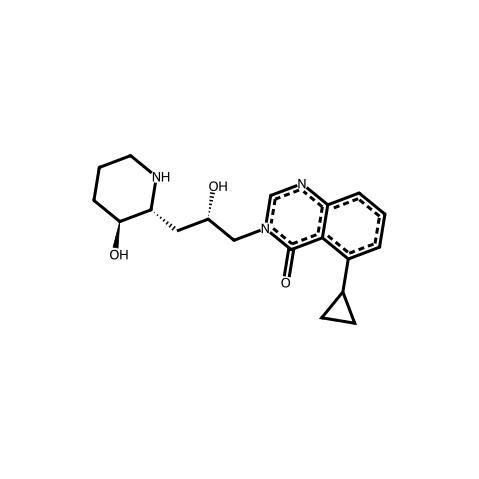 O=c1c2c(C3CC3)cccc2ncn1C[C@@H](O)C[C@H]1NCCC[C@@H]1O